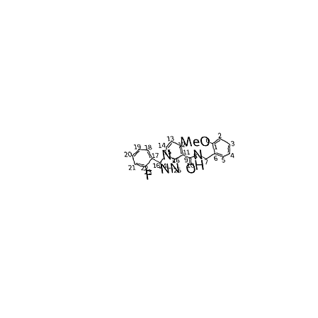 COc1ccccc1CNC(=O)c1cccn2c(-c3ccccc3F)nnc12